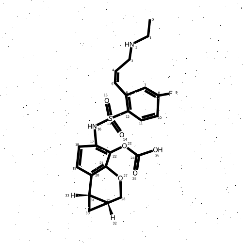 CCNC/C=C\c1cc(F)ccc1S(=O)(=O)Nc1ccc2c(c1OC(=O)O)OC[C@@H]1C[C@H]21